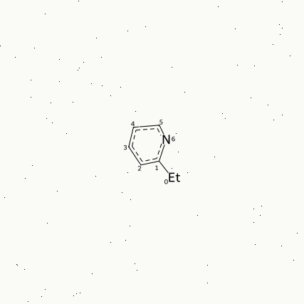 [CH2]Cc1ccccn1